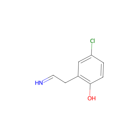 N=CCc1cc(Cl)ccc1O